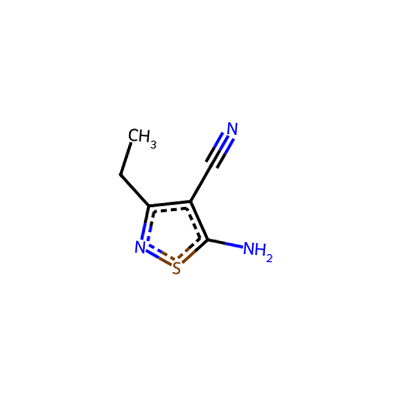 CCc1nsc(N)c1C#N